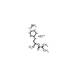 C=C(C)C(=O)OC(CC[C@H]1CC[C@H](CN)CC1)[N+](=O)[O-].Cl